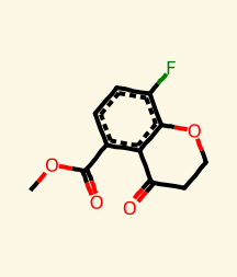 COC(=O)c1ccc(F)c2c1C(=O)CCO2